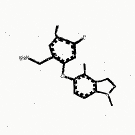 CNCc1cc(C)c(Cl)cc1Oc1ccc2c(c1C)CCN2C